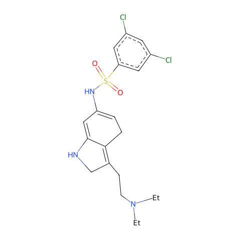 CCN(CC)CCC1=C2CC=C(NS(=O)(=O)c3cc(Cl)cc(Cl)c3)C=C2NC1